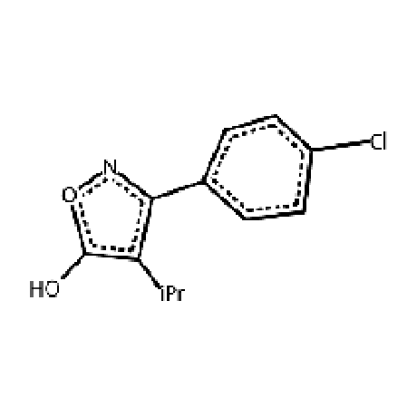 CC(C)c1c(-c2ccc(Cl)cc2)noc1O